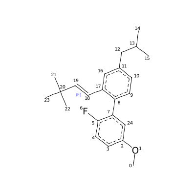 COc1ccc(F)c(-c2ccc(CC(C)C)cc2/C=C/C(C)(C)C)c1